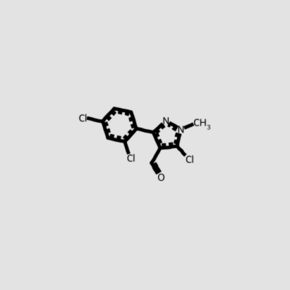 Cn1nc(-c2ccc(Cl)cc2Cl)c(C=O)c1Cl